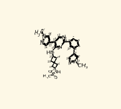 Cn1cc(-c2cccc(-c3ncc(-c4cnn(C)c4)c(NC4CC5(C4)CC(NS(C)(=O)=O)C5)n3)c2)cn1